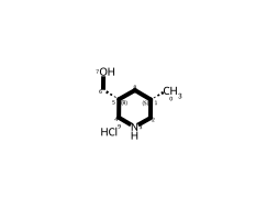 C[C@@H]1CNC[C@H](CO)C1.Cl